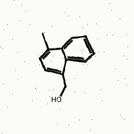 [CH2]c1ccc(CO)c2ccccc12